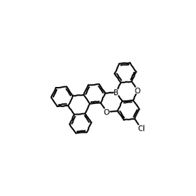 Clc1cc2c3c(c1)Oc1c(ccc4c5ccccc5c5ccccc5c14)B3c1ccccc1O2